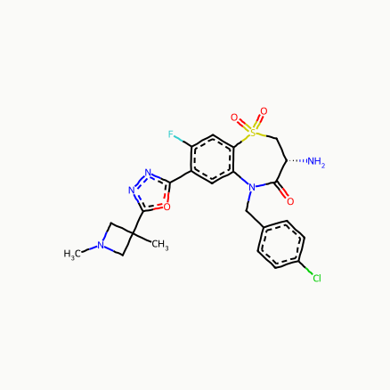 CN1CC(C)(c2nnc(-c3cc4c(cc3F)S(=O)(=O)C[C@H](N)C(=O)N4Cc3ccc(Cl)cc3)o2)C1